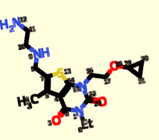 CCn1c(=O)c2c(C)c(CNCCN)sc2n(CCOC2CC2)c1=O